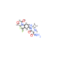 CN(C1CCC1)[C@H](C(N)=O)C(=O)Nc1ccc(N2CCOCC2=O)c(C(F)F)c1